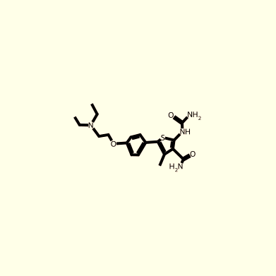 CCN(CC)CCOc1ccc(-c2sc(NC(N)=O)c(C(N)=O)c2C)cc1